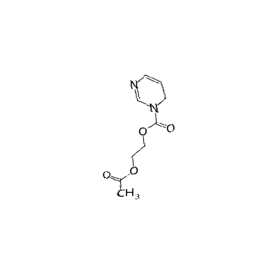 CC(=O)OCCOC(=O)N1C=NC=CC1